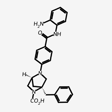 Nc1ccccc1NC(=O)c1ccc(N2C[C@]3(Cc4ccccc4)C[C@H]2CN3C(=O)O)cc1